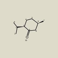 CC(C)[C@H]1CC[C@@H](C)CC1=O